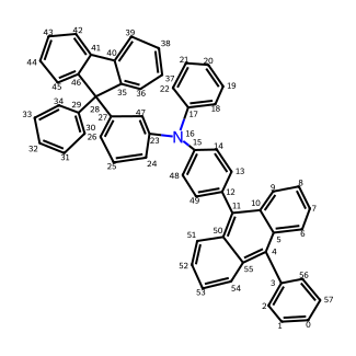 c1ccc(-c2c3ccccc3c(-c3ccc(N(c4ccccc4)c4cccc(C5(c6ccccc6)c6ccccc6-c6ccccc65)c4)cc3)c3ccccc23)cc1